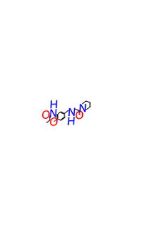 CC1Oc2ccc(CNCC(=O)N3CCCCC3)cc2NC1=O